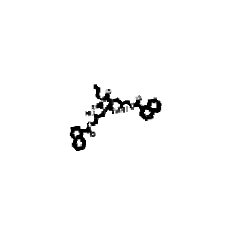 CCCn1c(=O)n(CC(O)COC(=O)c2cccc3ccccc23)c(=O)n(CC(O)COC(=O)c2cccc3ccccc23)c1=O